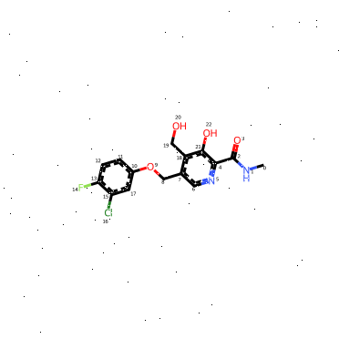 CNC(=O)c1ncc(COc2ccc(F)c(Cl)c2)c(CO)c1O